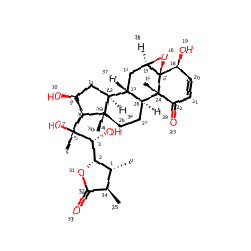 C[C@H]1[C@@H]([C@@H](O)[C@](C)(O)[C@H]2[C@@H](O)C[C@H]3[C@@H]4C[C@H]5O[C@]56[C@@H](O)C=CC(=O)[C@]6(C)[C@H]4CC[C@]23C)OC(=O)[C@@H]1C